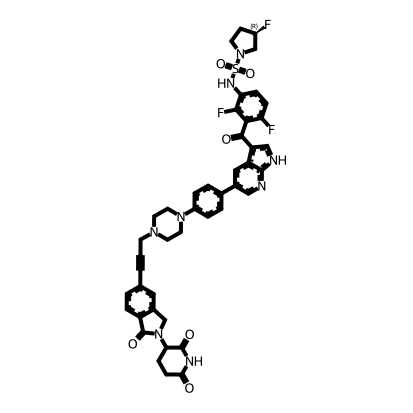 O=C1CCC(N2Cc3cc(C#CCN4CCN(c5ccc(-c6cnc7[nH]cc(C(=O)c8c(F)ccc(NS(=O)(=O)N9CC[C@@H](F)C9)c8F)c7c6)cc5)CC4)ccc3C2=O)C(=O)N1